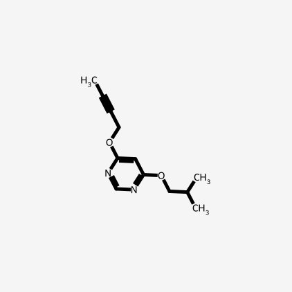 CC#CCOc1cc(OCC(C)C)ncn1